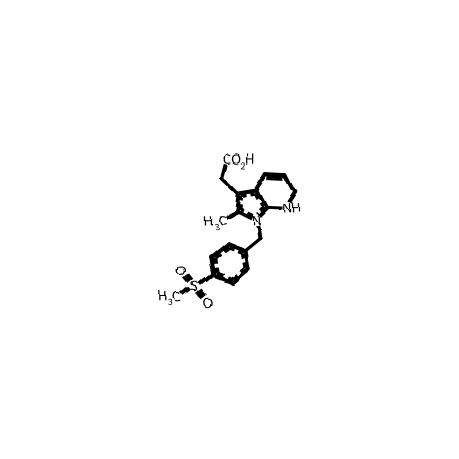 Cc1c(CC(=O)O)c2c(n1Cc1ccc(S(C)(=O)=O)cc1)NCC=C2